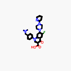 CN(C)Cc1ccc(-n2cc(C(=O)O)c(=O)c3cc(F)c(N4CCN(c5ccccn5)CC4)cc32)cc1